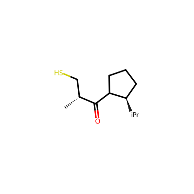 CC(C)[C@@H]1CCCC1C(=O)[C@H](C)CS